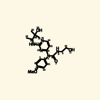 COc1ccc(N(C(=O)NCCO)c2ccnc(NC(C)C(C)(C)O)n2)cc1